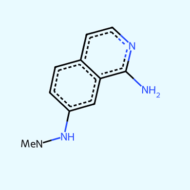 CNNc1ccc2ccnc(N)c2c1